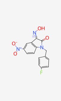 O=C1/C(=N\O)c2cc([N+](=O)[O-])ccc2N1Cc1ccc(F)cc1